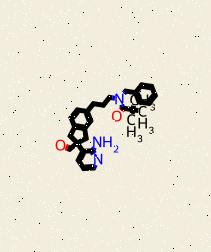 CC(C)(C)C(=O)N(CCCc1ccc2c(c1)CC(C=O)(c1cccnc1N)C2)Cc1ccccc1